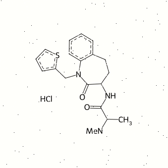 CNC(C)C(=O)NC1CCc2ccccc2N(Cc2cccs2)C1=O.Cl